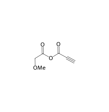 C#CC(=O)OC(=O)COC